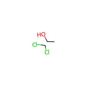 CCO.ClCCl